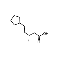 CC(CCC1CCCC1)CC(=O)O